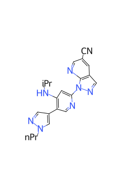 CCCn1cc(-c2cnc(-n3ncc4cc(C#N)cnc43)cc2NC(C)C)cn1